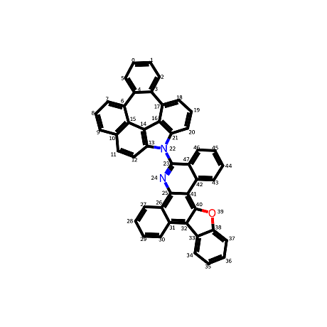 c1ccc2c(c1)-c1cccc3ccc4c(c13)c1c-2cccc1n4-c1nc2c3ccccc3c3c4ccccc4oc3c2c2ccccc12